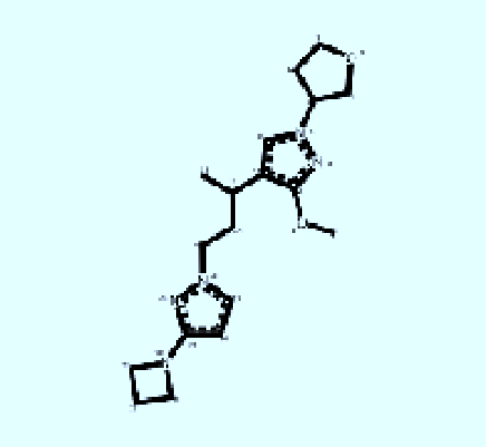 COc1nn(C2CCOC2)cc1C(C)CCn1ccc(N2CCC2)n1